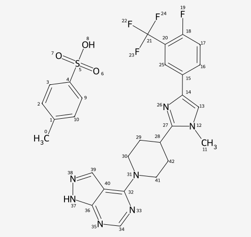 Cc1ccc(S(=O)(=O)O)cc1.Cn1cc(-c2ccc(F)c(C(F)(F)F)c2)nc1C1CCN(c2ncnc3[nH]ncc23)CC1